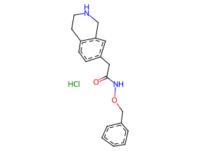 Cl.O=C(Cc1ccc2c(c1)CNCC2)NOCc1ccccc1